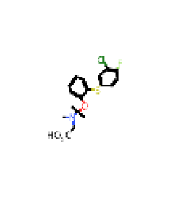 CN(CC(=O)O)C(C)(C)Oc1ccccc1Sc1ccc(F)c(Cl)c1